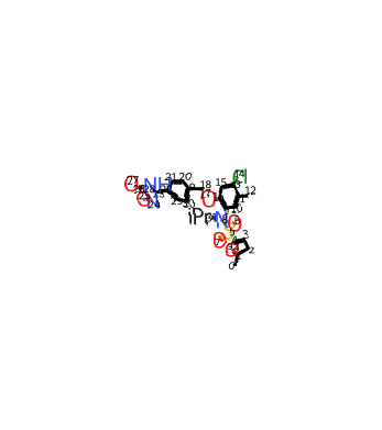 Cc1ccc(S(=O)(=O)N(c2cc(C)c(Cl)cc2OCc2ccc(-c3noc(=O)[nH]3)cc2)C(C)C)o1